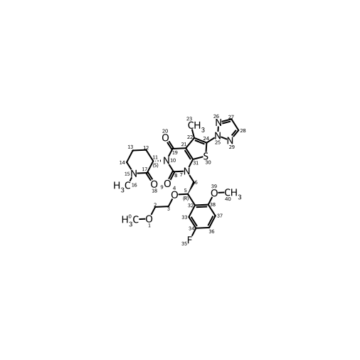 COCCO[C@@H](Cn1c(=O)n([C@H]2CCCN(C)C2=O)c(=O)c2c(C)c(-n3nccn3)sc21)c1cc(F)ccc1OC